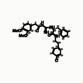 COc1ccc(CC(=O)NC(=N)N[C@H](Cc2ccccc2)C(=O)NCCc2ccc(Cl)cc2)cc1OC